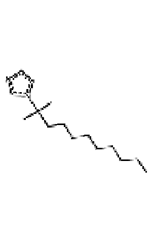 CCCCCCCCCC(C)(C)n1ccnc1